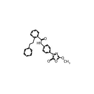 COc1nn(-c2ccc(NC(=O)c3ccccc3CCc3ccccc3)cc2)c(=O)o1